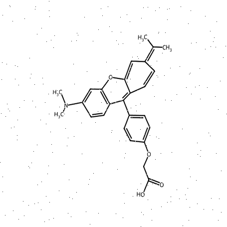 CC(C)=c1ccc2c(c1)Oc1cc(N(C)C)ccc1C=2c1ccc(OCC(=O)O)cc1